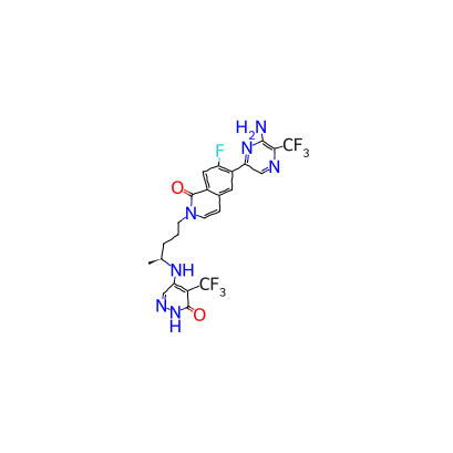 C[C@@H](CCCn1ccc2cc(-c3cnc(C(F)(F)F)c(N)n3)c(F)cc2c1=O)Nc1cn[nH]c(=O)c1C(F)(F)F